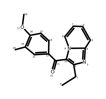 CCc1nc2ccccn2c1C(=O)c1ccc(OC)c(C)c1